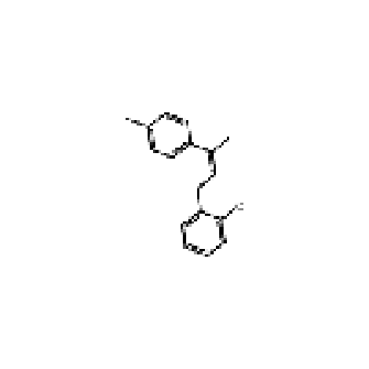 CC(=CCc1ccccc1Cl)c1ccc(F)cc1